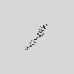 CCC=CC1CCC(C=CCCC2CCC(C3CCC(CCC)CC3)CC2)CC1